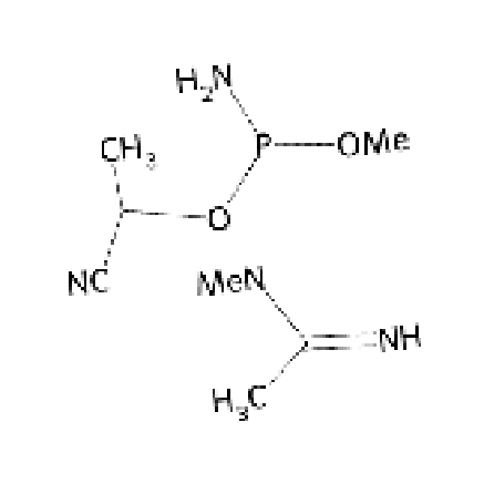 CNC(C)=N.COP(N)OC(C)C#N